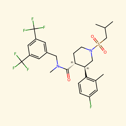 Cc1cc(F)ccc1[C@@H]1CN(S(=O)(=O)CC(C)C)CC[C@H]1C(=O)N(C)Cc1cc(C(F)(F)F)cc(C(F)(F)F)c1